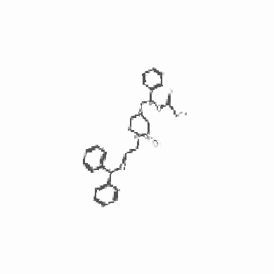 CC(=O)O[C@@H](CN1CC[C@H](CCOC(c2ccccc2)c2ccccc2)[C@@H](O)C1)c1ccccc1